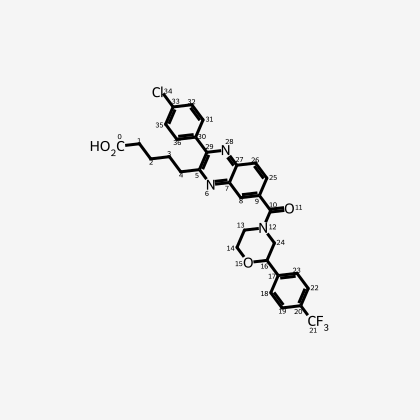 O=C(O)CCCCc1nc2cc(C(=O)N3CCOC(c4ccc(C(F)(F)F)cc4)C3)ccc2nc1-c1ccc(Cl)cc1